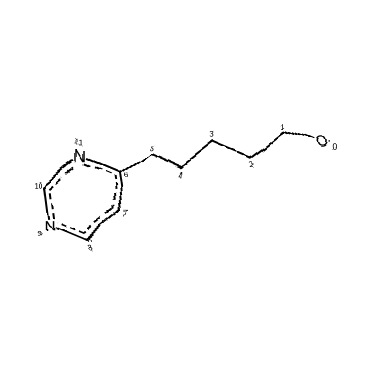 [O]CCCCCc1c[c]ncn1